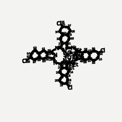 CC[Si](CC)(CC)O[Si]1(O[Si](CC)(CC)CC)n2c3c4cc5cc(Cl)ccc5cc4c2/N=C2N=C(/N=c4/c5cc6cc(Cl)ccc6cc5/c(n41)=N/C1=NC(=N\3)/c3cc4ccc(Cl)cc4cc31)c1cc3ccc(Cl)cc3cc1\2